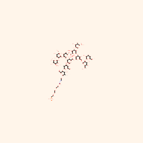 CC(=O)NC1[C@H](OCCNC(=O)OCCOCCOCCP(=O)(O)O)OC(CO)[C@@H](O[C@@H]2OC(CO)[C@@H](O[C@@H]3OC(CO[C@H]4OC(CO[C@H]5OC(CO)[C@@H](O)[C@H](O)C5O[C@H]5OC(CO)[C@@H](O)[C@H](O)C5O)[C@@H](O)[C@H](O[C@H]5O[C@@H](CO)[C@@H](O)C(O)C5O[C@H]5O[C@@H](CO)[C@@H](O)C(O)C5O)C4O)[C@@H](O)[C@H](O[C@H]4O[C@@H](CO)[C@@H](O)C(O)C4O[C@H]4O[C@@H](CO)[C@@H](O)C(O)C4O[C@H]4O[C@@H](CO)[C@@H](O)C(O)C4O)C3O)[C@H](O)C2NC(C)=O)[C@@H]1O